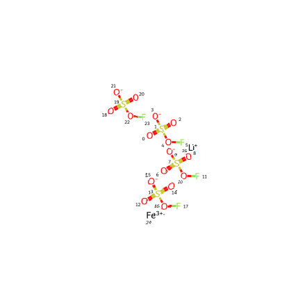 O=S(=O)([O-])OF.O=S(=O)([O-])OF.O=S(=O)([O-])OF.O=S(=O)([O-])OF.[Fe+3].[Li+]